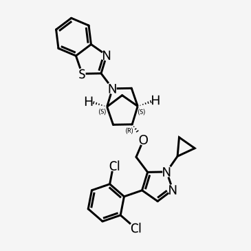 Clc1cccc(Cl)c1-c1cnn(C2CC2)c1CO[C@@H]1C[C@@H]2C[C@H]1CN2c1nc2ccccc2s1